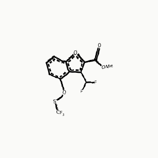 COC(=O)c1oc2cccc(OSC(F)(F)F)c2c1C(F)F